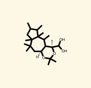 CC1CC2(C)C(C)(C)C[C@@H]3OC(C)(C)O[C@](C)(C(O)O)C3C(C)C2(C)C1C